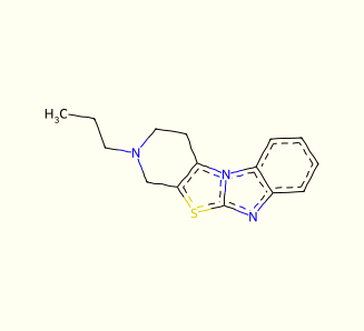 CCCN1CCc2c(sc3nc4ccccc4n23)C1